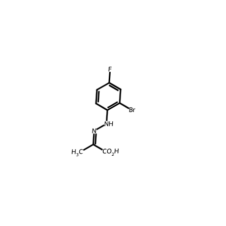 C/C(=N/Nc1ccc(F)cc1Br)C(=O)O